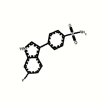 NS(=O)(=O)c1ccc(-c2c[nH]c3cc(F)ccc23)cc1